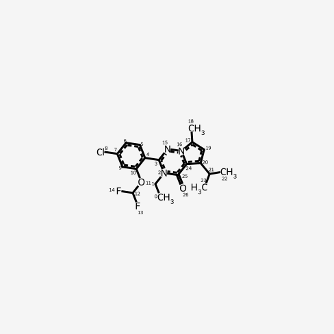 CCn1c(-c2ccc(Cl)cc2OC(F)F)nn2c(C)cc(C(C)C)c2c1=O